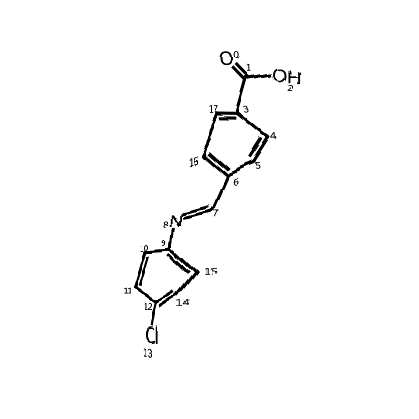 O=C(O)c1ccc(C=Nc2ccc(Cl)cc2)cc1